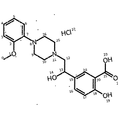 COc1ccccc1N1CCN(CC(O)c2ccc(O)c(C(=O)O)c2)CC1.Cl